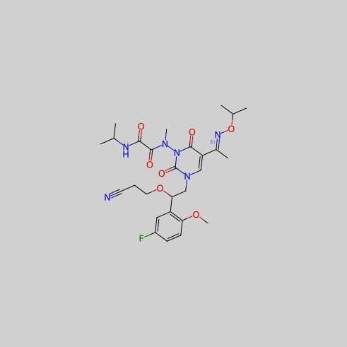 COc1ccc(F)cc1C(Cn1cc(/C(C)=N/OC(C)C)c(=O)n(N(C)C(=O)C(=O)NC(C)C)c1=O)OCCC#N